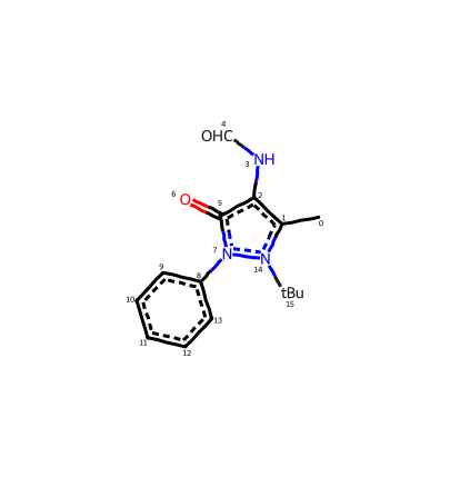 Cc1c(NC=O)c(=O)n(-c2ccccc2)n1C(C)(C)C